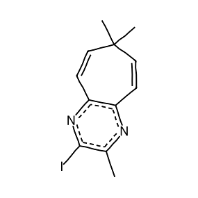 Cc1nc2c(nc1I)C=CC(C)(C)C=C2